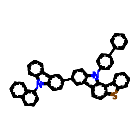 c1ccc(-c2ccc(-n3c4ccc(-c5ccc6c(c5)c5ccccc5n6-c5cccc6ccccc56)cc4c4ccc5sc6ccccc6c5c43)cc2)cc1